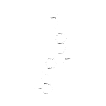 O=C(O)CNc1ccc(C=C2Sc3ccc(S(=O)(=O)Cc4c(Br)cccc4Br)cc3NC2=O)cc1